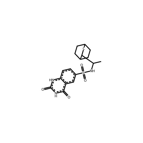 CC(NS(=O)(=O)c1ccc2[nH]c(=O)[nH]c(=O)c2c1)C1CC2CCC1CC2